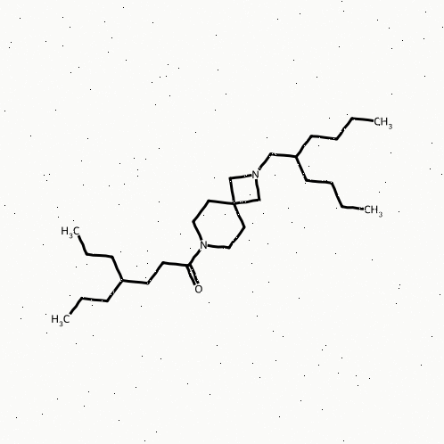 CCCCC(CCCC)CN1CC2(CCN(C(=O)CCC(CCC)CCC)CC2)C1